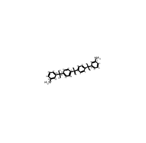 CC(C)(c1ccc(C(C)(C)c2cccc(N)c2)cc1)c1ccc(C(C)(C)c2cccc(N)c2)cc1